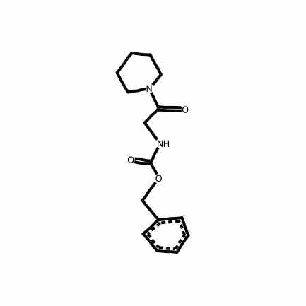 O=C(NCC(=O)N1CCCCC1)OCc1ccccc1